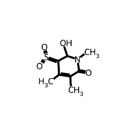 CC1=C(C)C(=S(=O)=O)C(O)N(C)C1=O